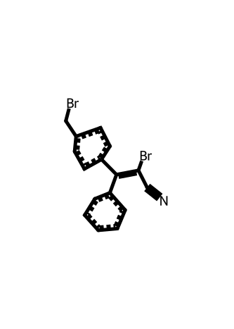 N#C/C(Br)=C(\c1ccccc1)c1ccc(CBr)cc1